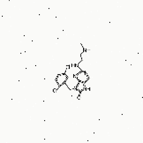 CN(C)CCNc1ncc2[nH]c(=O)n(Cc3cc(Cl)ccc3Cl)c2n1